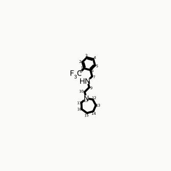 FC(F)(F)c1ccccc1CNCCN1CCCCCC1